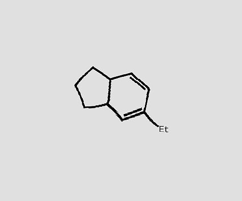 CCC1=CC2CCCC2C=C1